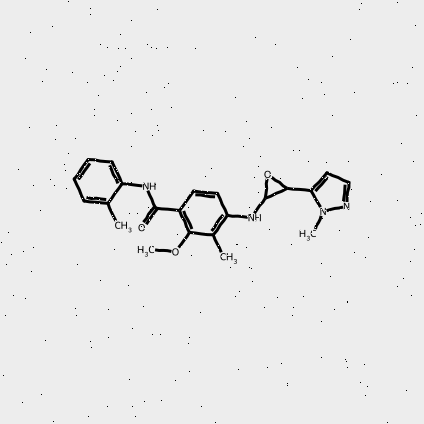 COc1c(C(=O)Nc2ccccc2C)ccc(NC2OC2c2ccnn2C)c1C